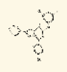 O=C(/N=C(/Nc1cc(F)cc(Cl)c1)Nc1cc(-c2ccccc2)n[nH]1)c1ccc(C(F)(F)F)cc1